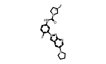 O=C(Nc1ccc(F)c(-n2cc3cc(N4CCCC4)cnc3n2)c1)N1CC[C@@H](F)C1